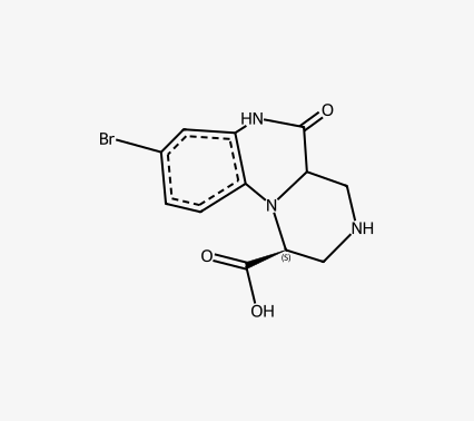 O=C1Nc2cc(Br)ccc2N2C1CNC[C@H]2C(=O)O